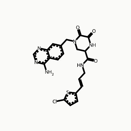 Nc1ncnc2cc(CN3CC(C(=O)NCC=Cc4ccc(Cl)s4)NC(=O)C3=O)ccc12